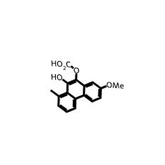 COc1ccc2c(c1)c(OC(=O)O)c(O)c1c(C)cccc12